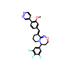 COc1cc(/C=C2\CCCN3C2=NOCCC3c2cc(F)c(F)c(F)c2)ccc1-c1ccnnc1